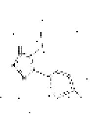 CCc1[nH]nnc1-c1ccc(C)cc1